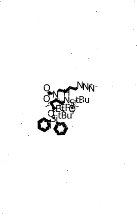 CC[C@@H](O[Si](c1ccccc1)(c1ccccc1)C(C)(C)C)[C@@]1(C)OC(=O)N(CCCCN=[N+]=[N-])[C@@H]1[C@H](N[S@+]([O-])C(C)(C)C)C(F)(F)F